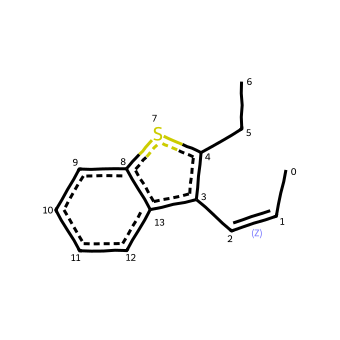 C/C=C\c1c(CC)sc2ccccc12